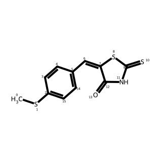 CSc1ccc(C=C2SC(=S)NC2=O)cc1